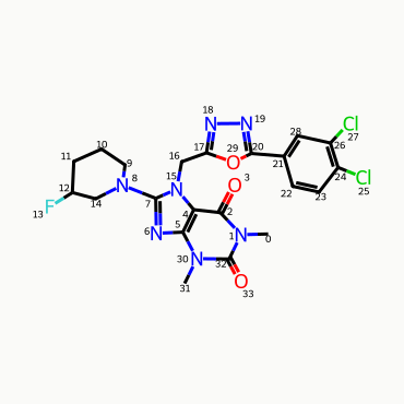 Cn1c(=O)c2c(nc(N3CCCC(F)C3)n2Cc2nnc(-c3ccc(Cl)c(Cl)c3)o2)n(C)c1=O